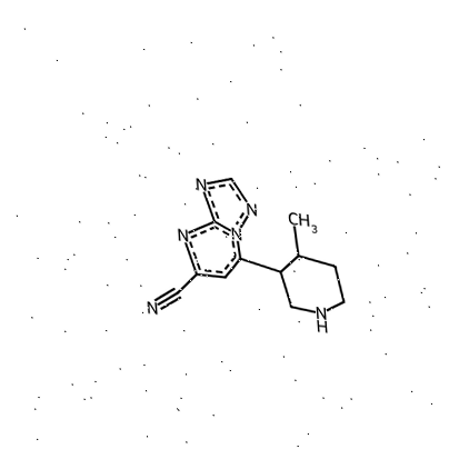 CC1CCNCC1c1cc(C#N)nc2ncnn12